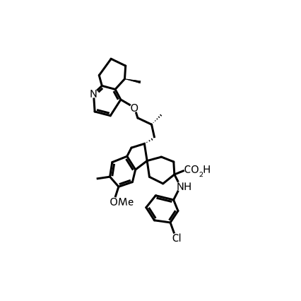 COc1cc2c(cc1C)C[C@H](C[C@@H](C)COc1ccnc3c1[C@H](C)CCC3)C21CCC(Nc2cccc(Cl)c2)(C(=O)O)CC1